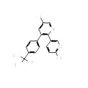 Cc1ccc(-c2ncc(Cl)cc2-c2ccc(C(C)(C)C)cc2)cn1